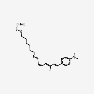 CCCCCCSSCCCCCC/N=C/C=C\C=C(C)\C=C\c1ccc(N(C)C)cc1